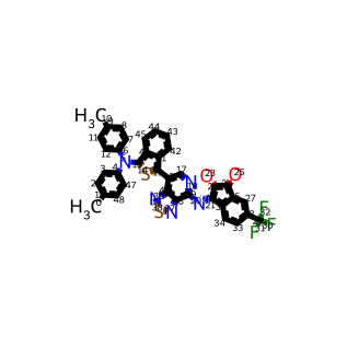 Cc1ccc(N(c2ccc(C)cc2)c2sc(-c3cnc(/N=c4\c(=O)c(=O)c5cc(C(F)(F)F)ccc45)c4nsnc34)c3ccccc23)cc1